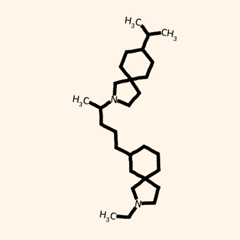 CCN1CCC2(CCCC(CCCC(C)N3CCC4(CCC(C(C)C)CC4)C3)C2)C1